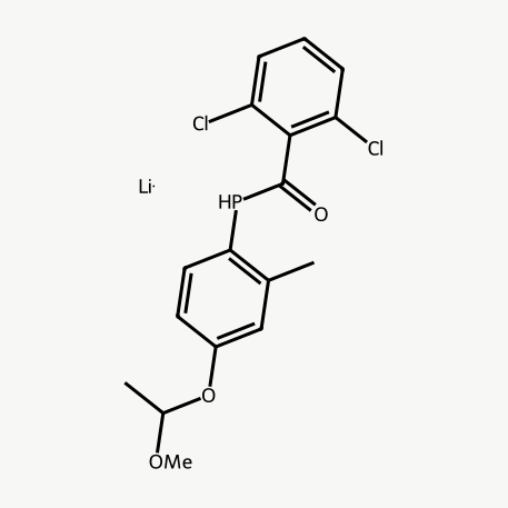 COC(C)Oc1ccc(PC(=O)c2c(Cl)cccc2Cl)c(C)c1.[Li]